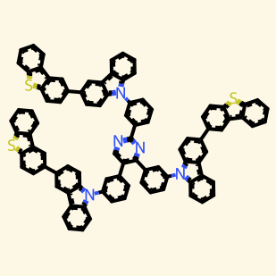 c1cc(-c2ncc(-c3cccc(-n4c5ccccc5c5cc(-c6ccc7sc8ccccc8c7c6)ccc54)c3)c(-c3cccc(-n4c5ccccc5c5cc(-c6ccc7sc8ccccc8c7c6)ccc54)c3)n2)cc(-n2c3ccccc3c3cc(-c4ccc5sc6ccccc6c5c4)ccc32)c1